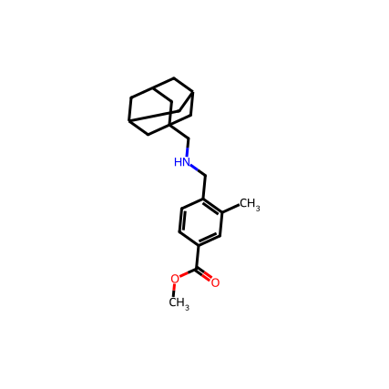 COC(=O)c1ccc(CNCC23CC4CC(CC(C4)C2)C3)c(C)c1